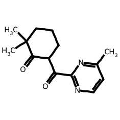 Cc1ccnc(C(=O)C2CCCC(C)(C)C2=O)n1